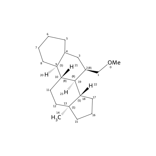 COC[C@@H]1CC2CCCC[C@@H]2[C@H]2CC[C@]3(C)CCC[C@H]3[C@H]12